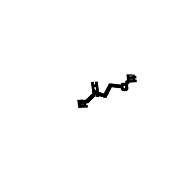 CCNCCOCC